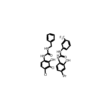 CC(C)c1ccc(NC(=O)Nc2cccc(C(F)(F)F)c2)c(O)c1.O=C(NCc1ccccc1)Nc1ccc(Cl)c(Cl)c1O